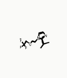 CC(C)c1nccn1CCOCC(F)(F)F